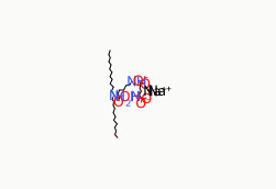 CCCCCCCCCCCCN(CCCCCCCCCCCC)C(CCCCN)C(=O)O.NC(CCC(=O)[O-])C(=O)[O-].[Na+].[Na+]